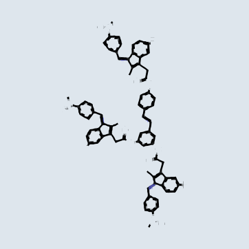 CC1=C(CC(=O)Oc2ccc(/C=C/c3cc(OC(=O)CC4=C(C)/C(=C/c5ccc([S+](C)[O-])cc5)c5ccc(F)cc54)cc(OC(=O)CC4=C(C)/C(=C/c5ccc([S+](C)[O-])cc5)c5ccc(F)cc54)c3)cc2)c2cc(F)ccc2/C1=C\c1ccc([S+](C)[O-])cc1